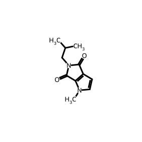 CC(C)CN1C(=O)c2ccn(C)c2C1=O